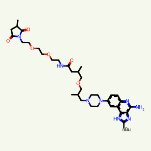 CCCCc1nc2c(N)nc3ccc(N4CCN(CC(C)COCC(C)CC(=O)NCCOCCOCCN5C(=O)CC(C)C5=O)CC4)cc3c2[nH]1